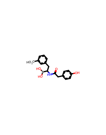 O=C(Cc1ccc(O)cc1)NC(Cc1cccc(C(=O)O)c1)B(O)O